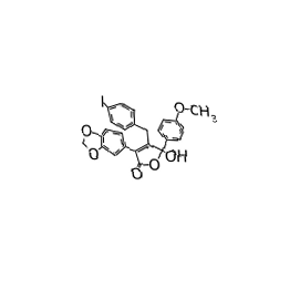 COc1ccc(C2(O)OC(=O)C(c3ccc4c(c3)OCO4)=C2Cc2ccc(I)cc2)cc1